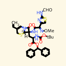 C=CC1=CN2C(=O)C(CC(NC(=O)OC(C)(C)C)C(=O)OC(c3ccccc3)c3ccccc3)(NC(=O)C(=NOC)c3csc(NC=O)n3)[C@@H]2SC1